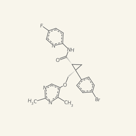 Cc1ncc(OC[C@@]2(c3ccc(Br)cc3)C[C@H]2C(=O)Nc2ccc(F)cn2)c(C)n1